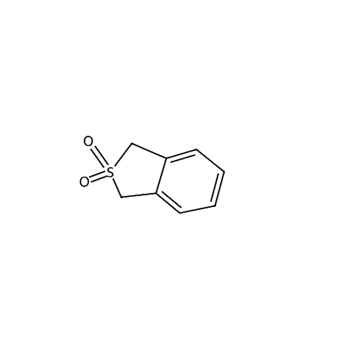 O=S1(=O)Cc2ccccc2C1